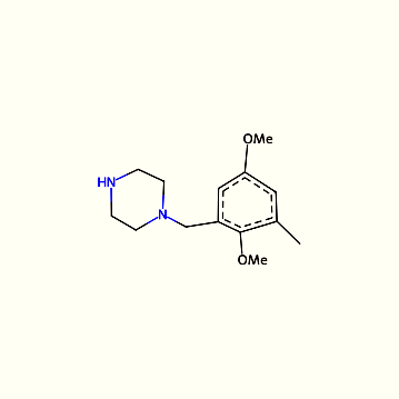 COc1cc(C)c(OC)c(CN2CCNCC2)c1